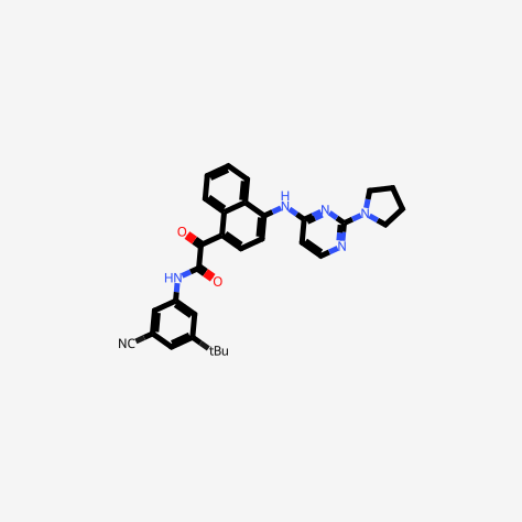 CC(C)(C)c1cc(C#N)cc(NC(=O)C(=O)c2ccc(Nc3ccnc(N4CCCC4)n3)c3ccccc23)c1